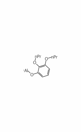 CCCOc1cccc([O][Al])c1OCCC